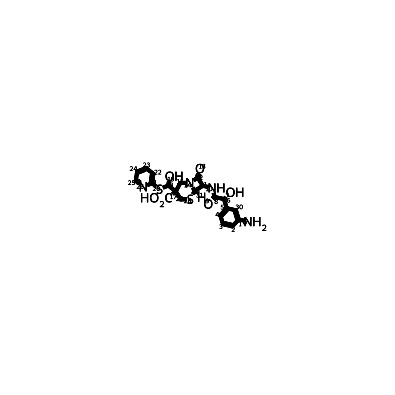 Nc1cccc(C(O)C(=O)NC2C(=O)N3CC(C(=O)O)(C(O)Sc4ccccn4)CS[C@H]23)c1